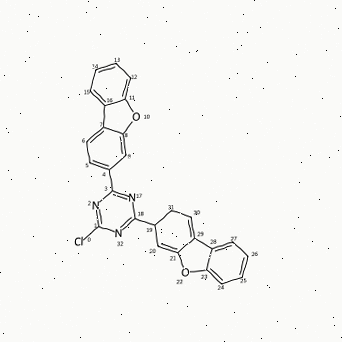 Clc1nc(-c2ccc3c(c2)oc2ccccc23)nc(C2C=c3oc4ccccc4c3=CC2)n1